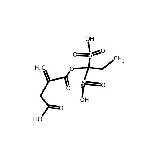 C=C(CC(=O)O)C(=O)OC(CC)(S(=O)(=O)O)S(=O)(=O)O